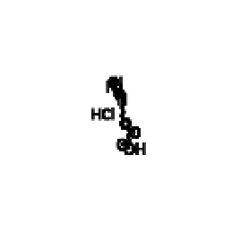 Cl.O=C(O)CCC(=O)c1ccc(CCCCN2CCN(c3ncccn3)CC2)cc1